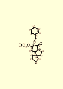 CCOC(=O)c1nc2n(c(=O)c1OCc1ccccc1)CCC21CCCC1